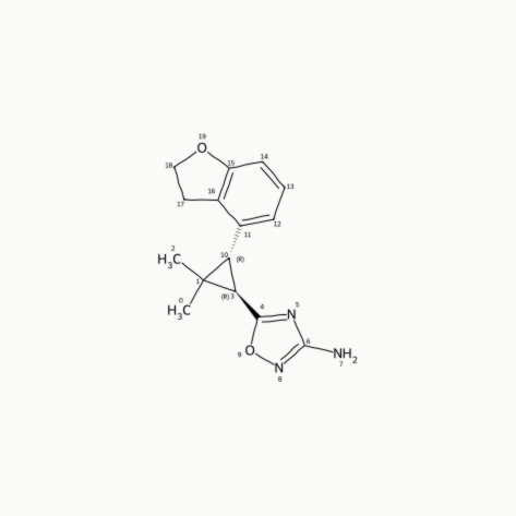 CC1(C)[C@H](c2nc(N)no2)[C@H]1c1cccc2c1CCO2